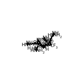 N=C(N)NCCCCC(=O)Nc1cc(C(F)(F)F)cc(NC(=O)c2cc(C(=O)Nc3cc(C(F)(F)F)cc(NC(=O)CCCCNC(=N)N)c3SCCNC(=N)N)ncn2)c1SCCNC(=N)N